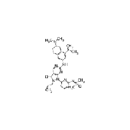 C=CCn1c(=O)c2cnc(Nc3cc4c(c(C(=C)C)c3)CC(N(C)C)CC4)nc2n1-c1cccc(N=S(C)(C)=O)n1